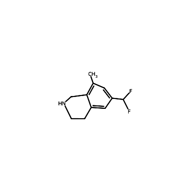 Cc1cc(C(F)F)cc2c1CNCC2